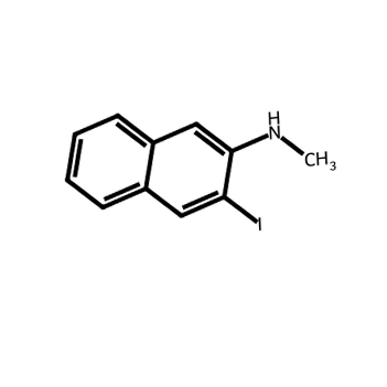 CNc1cc2ccccc2cc1I